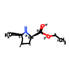 C=C1CC[C@H](C(=O)OCC)N1